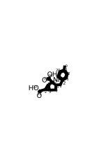 Cc1ccc(CC2CC3C(C(=O)O)C3C2(N)C(=O)O)cc1